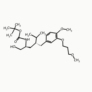 COCCCOc1cc(C[C@H](C[C@@H](CO)NC(=O)OC(C)(C)C)C(C)C)ccc1OC